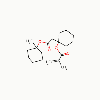 C=C(C)C(=O)OC1(CC(=O)OC2(C)CCCCC2)CCCCC1